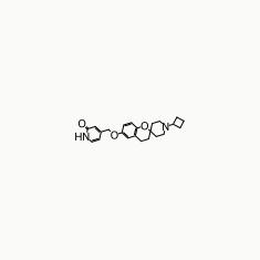 O=c1cc(COc2ccc3c(c2)CCC2(CCN(C4CCC4)CC2)O3)cc[nH]1